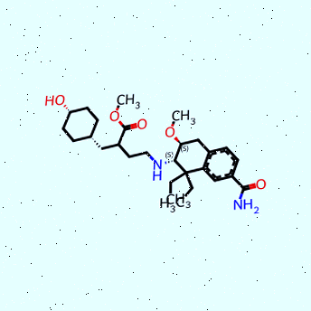 CCC1(CC)c2cc(C(N)=O)ccc2C[C@H](OC)[C@H]1NCCC(C[C@H]1CC[C@@H](O)CC1)C(=O)OC